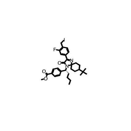 CCCC[C@H](c1ccc(C(=O)OC)cc1)N1C(=O)C(c2ccc(CI)c(F)c2)=NC12CCC(C(C)(C)C)CC2